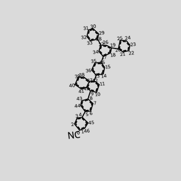 N#Cc1ccc(-c2ccc(-c3ccc(-c4ccc(-c5cc(-c6ccccc6)cc(-c6ccccc6)c5)cc4)c4ccccc34)cc2)cc1